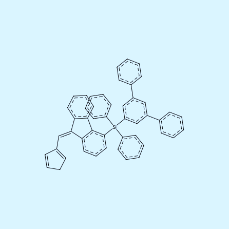 C1=CC(/C=C2/c3ccccc3-c3c2cccc3[Si](c2ccccc2)(c2ccccc2)c2cc(-c3ccccc3)cc(-c3ccccc3)c2)=CC1